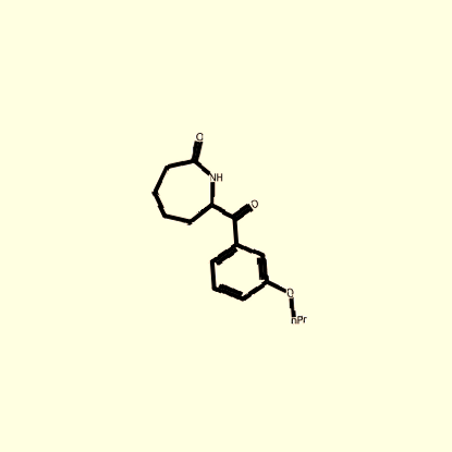 CCCOc1cccc(C(=O)C2CCCCC(=O)N2)c1